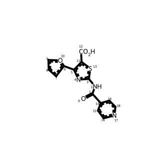 O=C(Nc1nc(-c2ccco2)c(C(=O)O)s1)c1ccncc1